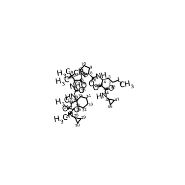 CCCC[C@H](NC(=O)[C@@H]1CCCN1C(=O)[C@@H](NC(=O)NC1([C@@H](C)S(=O)(=O)N(C)C2CC2)CCCCC1)C(C)(C)C)C(=O)C(=O)NC1CC1